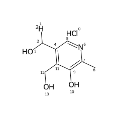 Cl.[2H]C(O)c1cnc(C)c(O)c1CO